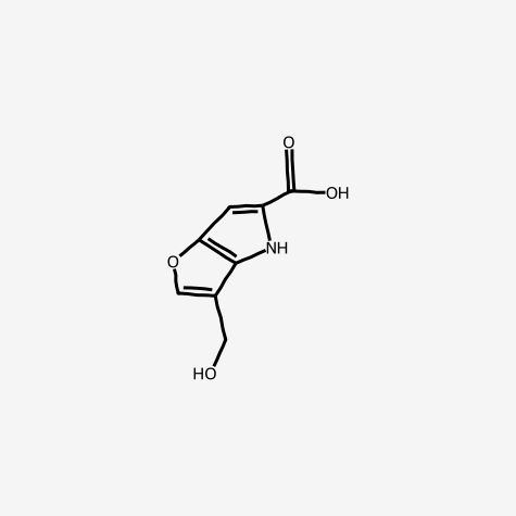 O=C(O)c1cc2occ(CO)c2[nH]1